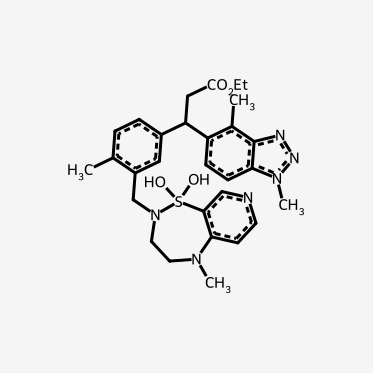 CCOC(=O)CC(c1ccc(C)c(CN2CCN(C)c3ccncc3S2(O)O)c1)c1ccc2c(nnn2C)c1C